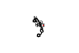 Cl.Cl.O=C(NCCCN1CCC(Cc2ccccc2)CC1)C1=Cc2cnc3cccc(n23)S1